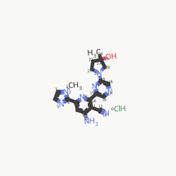 Cl.Cn1ccnc1-c1cc(N)c(C#N)c(-c2cncc(N3CCC(C)(O)C3)n2)n1